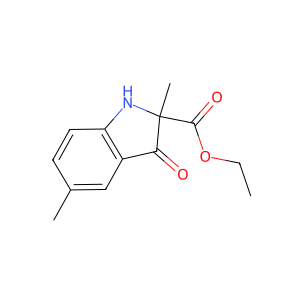 CCOC(=O)C1(C)Nc2ccc(C)cc2C1=O